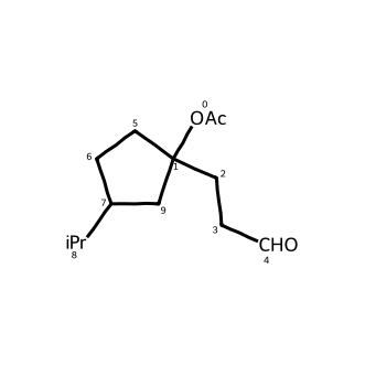 CC(=O)OC1(CCC=O)CCC(C(C)C)C1